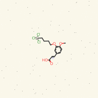 COc1ccc(/C=C/C(=O)O)cc1OCCCC[Si](Cl)(Cl)Cl